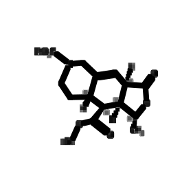 CCCCOC(=O)[C@@H]1[C@@H]2[C@@H](C)OC(=O)[C@@H]2C=C2CN(C(=O)OCC)CC[C@H]21